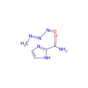 CN=NN=O.NC(=O)c1ncc[nH]1